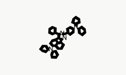 c1ccc(-c2nc(-c3ccc(N(c4ccccc4)c4ccccc4)cc3)nc3c2-c2ccc(N(c4ccccc4)c4ccccc4)c4cccc-3c24)cc1